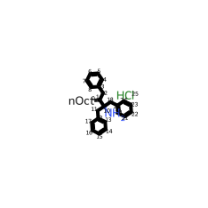 CCCCCCCCC(Cc1ccccc1)C(N)(Cc1ccccc1)Cc1ccccc1.Cl